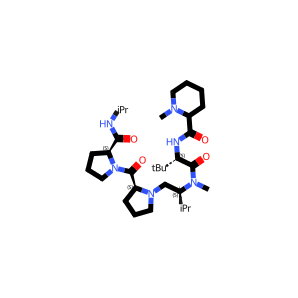 CC(C)NC(=O)[C@@H]1CCCN1C(=O)[C@@H]1CCCN1C[C@H](C(C)C)N(C)C(=O)[C@@H](NC(=O)C1CCCCN1C)C(C)(C)C